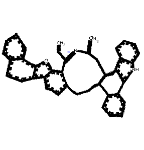 C=C/C1=N/C(=C)CC2c3c([nH]c4ccccc34)-c3ccccc3C2CCc2ccc3c(oc4c5ccccc5ccc34)c21